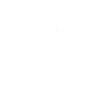 Cc1ccc(I)cc1C(=O)Cl